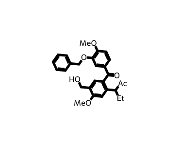 CCC(C(C)=O)c1cc(OC)c(CO)cc1C(=O)c1ccc(OC)c(OCc2ccccc2)c1